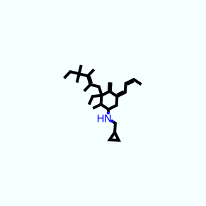 C=C1/C(=C\C=C/C)CC(NCC2CC2)C(C)C1(CC)C/C(C)=C(\C)C(C)(C)CC